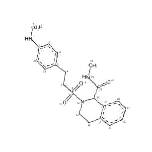 O=C(O)Nc1ccc(CCS(=O)(=O)N2CCc3ccccc3C2C(=O)NO)cc1